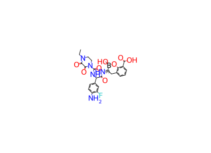 CCN1CCN(C(=O)NC(C(=O)N[C@H]2Cc3cccc(C(=O)O)c3OB2O)c2ccc(N)c(F)c2)C(=O)C1=O